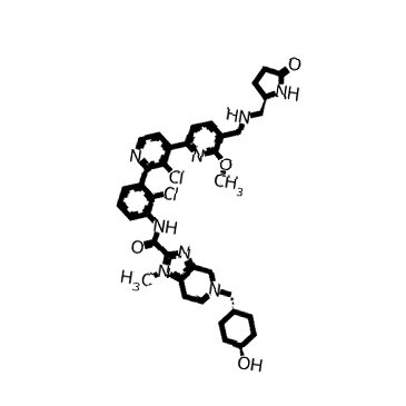 COc1nc(-c2ccnc(-c3cccc(NC(=O)c4nc5c(n4C)CCN(C[C@H]4CC[C@H](O)CC4)C5)c3Cl)c2Cl)ccc1CNC[C@H]1CCC(=O)N1